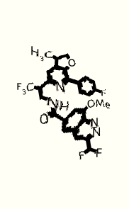 COc1cc(C(=O)NCC(c2cc3c(c(-c4ccc(F)cc4)n2)OCC3C)C(F)(F)F)cc2cc(C(F)F)nnc12